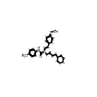 Cc1ccc(NC(=O)N(CCCCC2CCCCC2)CCc2ccc(SC(C)(C)C)cc2)cc1